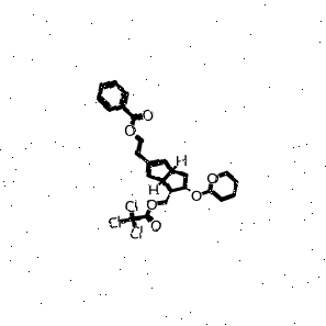 O=C(OCCC1=C[C@@H]2C[C@H](OC3CCCCO3)[C@@H](COC(=O)C(Cl)(Cl)Cl)[C@@H]2C1)c1ccccc1